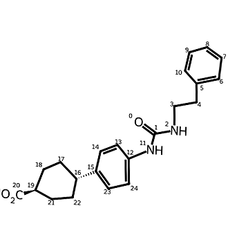 O=C(NCCc1ccccc1)Nc1ccc([C@H]2CC[C@H](C(=O)O)CC2)cc1